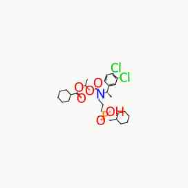 CC(OC(=O)C1CCCCC1)OC(=O)N(CCCP(=O)(O)CC1CCCCC1)[C@H](C)c1ccc(Cl)c(Cl)c1